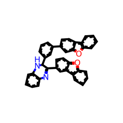 c1cc(-c2ccc3c(c2)oc2ccccc23)cc(C2Nc3ccccc3N=C2c2ccc3oc4ccccc4c3c2)c1